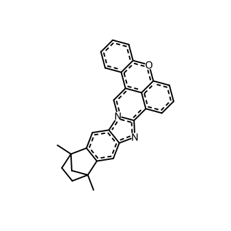 CC12CCC(C)(C1)c1cc3c(cc12)nc1c2cccc4oc5ccccc5c(cn31)c42